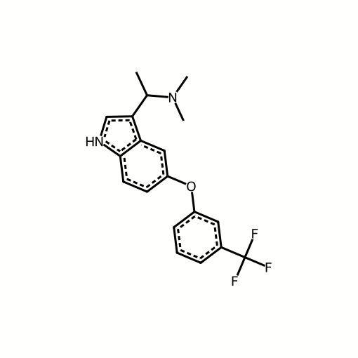 CC(c1c[nH]c2ccc(Oc3cccc(C(F)(F)F)c3)cc12)N(C)C